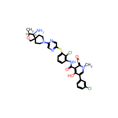 C[C@@H]1OCC2(CCN(c3cnc(Sc4cccc(NC(=O)C5=C(O)C(c6cccc(Cl)c6)=CN(C)C5=C=O)c4Cl)cn3)CC2)[C@@H]1N